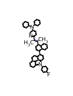 C/C(=C(/C)c1ccc(-c2ccc3c4c2ccc2cccc(c24)n3-c2ccc(F)cc2)c2ccccc12)c1ccc(N(c2ccccc2)c2ccccc2)cn1